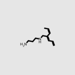 C=C/C=C(\C=C/C)CNCCCN